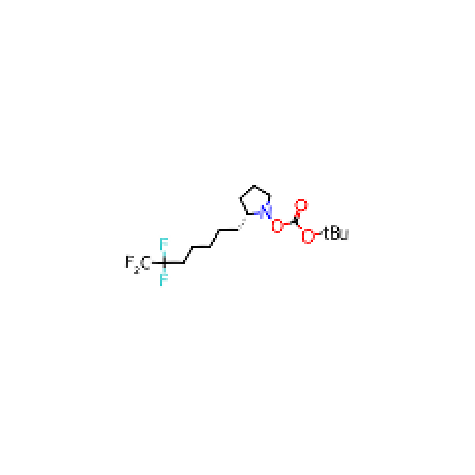 CC(C)(C)OC(=O)ON1CCC[C@H]1CCCCCC(F)(F)C(F)(F)F